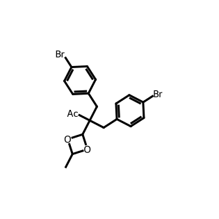 CC(=O)C(Cc1ccc(Br)cc1)(Cc1ccc(Br)cc1)C1OC(C)O1